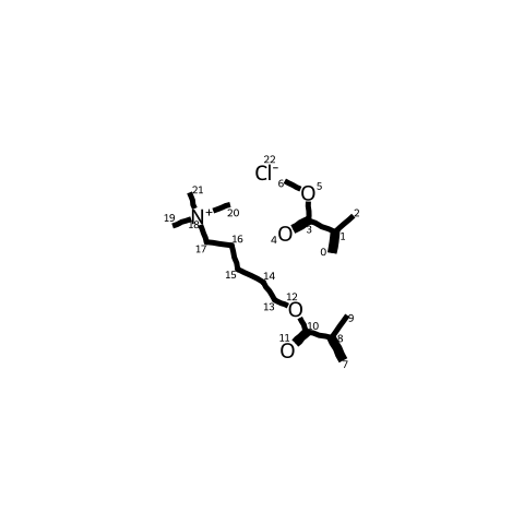 C=C(C)C(=O)OC.C=C(C)C(=O)OCCCCC[N+](C)(C)C.[Cl-]